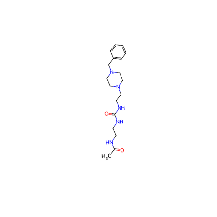 CC(=O)NCCNC(=O)NCCN1CCN(Cc2ccccc2)CC1